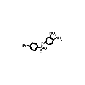 CC(C)c1ccc(S(=O)(=O)Oc2ccc(N)c([N+](=O)[O-])c2)cc1